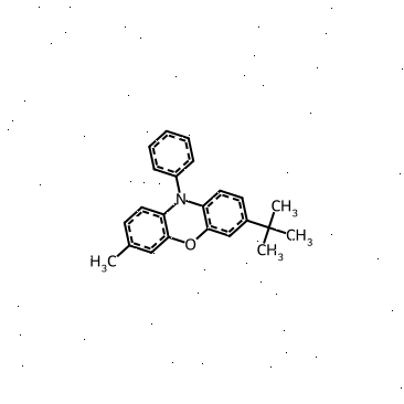 Cc1ccc2c(c1)Oc1cc(C(C)(C)C)ccc1N2c1ccccc1